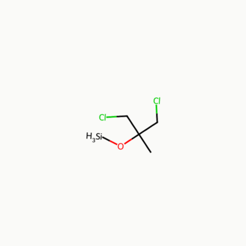 CC(CCl)(CCl)O[SiH3]